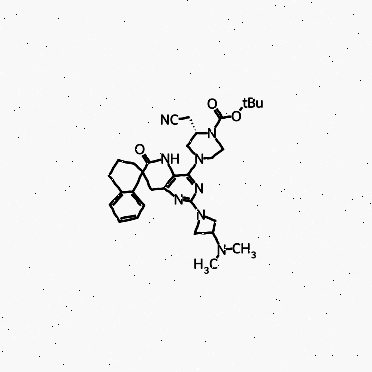 CN(C)C1CN(c2nc3c(c(N4CCN(C(=O)OC(C)(C)C)[C@@H](CC#N)C4)n2)NC(=O)C2(CCCc4ccccc42)C3)C1